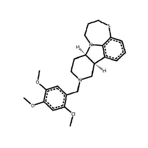 COc1cc(OC)c(OC)cc1CN1CC[C@@H]2[C@H](C1)c1cccc3c1N2CCCS3